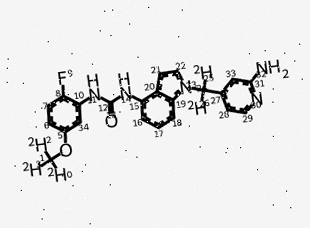 [2H]C([2H])([2H])Oc1ccc(F)c(NC(=O)Nc2cccc3c2ccn3C([2H])([2H])c2ccnc(N)c2)c1